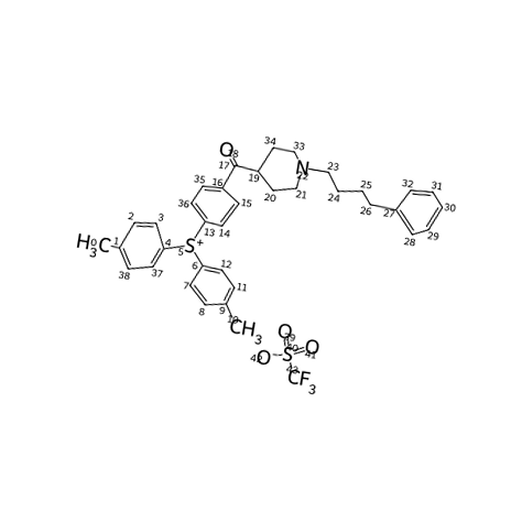 Cc1ccc([S+](c2ccc(C)cc2)c2ccc(C(=O)C3CCN(CCCCc4ccccc4)CC3)cc2)cc1.O=S(=O)([O-])C(F)(F)F